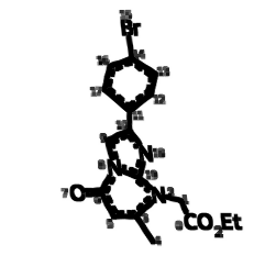 CCOC(=O)Cn1c(C)cc(=O)n2cc(-c3ccc(Br)cc3)nc12